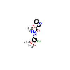 COc1cc(/C=N/NC(=O)C(OC)c2ccnc3ccccc23)cc(Br)c1OC